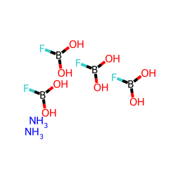 N.N.OB(O)F.OB(O)F.OB(O)F.OB(O)F